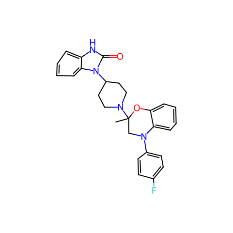 CC1(N2CCC(n3c(=O)[nH]c4ccccc43)CC2)CN(c2ccc(F)cc2)c2ccccc2O1